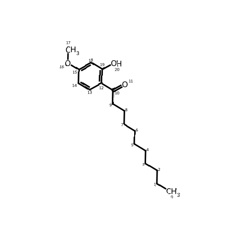 CCCCCCCCCCC(=O)c1ccc(OC)cc1O